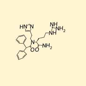 N=C(N)NCCC[C@@H](C(N)=O)N(CCc1c[nH]cn1)C(=O)C(c1ccccc1)c1ccccc1